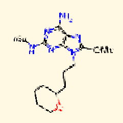 CCCCNc1nc(N)c2nc(OC)n(CCCC3CCCCO3)c2n1